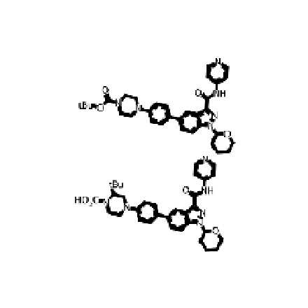 CC(C)(C)C1CN(c2ccc(-c3ccc4c(c3)c(C(=O)Nc3ccncc3)nn4C3CCCCO3)cc2)CCN1C(=O)O.CC(C)(C)OC(=O)N1CCN(c2ccc(-c3ccc4c(c3)c(C(=O)Nc3ccncc3)nn4C3CCCCO3)cc2)CC1